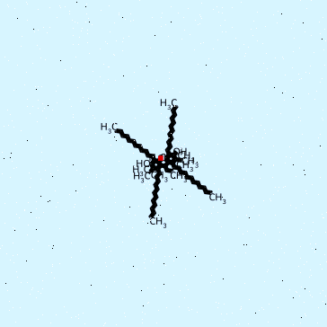 CCCCCCCCCCCCCc1c(C)c(C(CCC)c2c(C)c(CCCCCCCCCCCCC)c(O)c(C(C)(C)C)c2CCCCCCCCCCCCC)c(CCCCCCCCCCCCC)c(C(C)(C)C)c1O